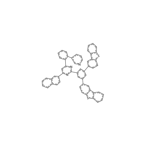 c1cncc(-c2ccccc2-c2cc(-c3ccc4ccccc4c3)nc(-c3cc(-c4ccc5sc6ccccc6c5c4)cc(-c4ccc5sc6ccccc6c5c4)c3)n2)c1